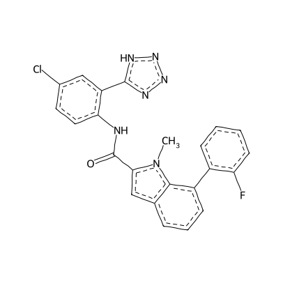 Cn1c(C(=O)Nc2ccc(Cl)cc2-c2nnn[nH]2)cc2cccc(-c3ccccc3F)c21